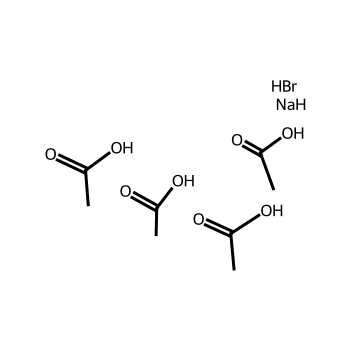 Br.CC(=O)O.CC(=O)O.CC(=O)O.CC(=O)O.[NaH]